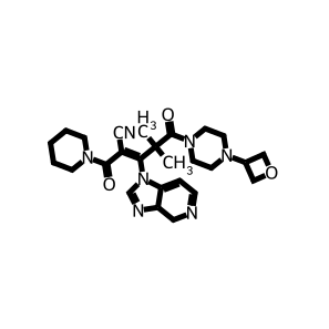 CC(C)(C(=O)N1CCN(C2COC2)CC1)C(=C(C#N)C(=O)N1CCCCC1)N1C=NC2CN=CC=C21